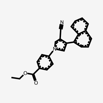 CCOC(=O)c1ccc(-n2cc(C#N)c(-c3cccc4ccccc34)c2)cc1